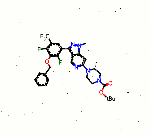 C[C@@H]1CN(C(=O)OC(C)(C)C)CCN1c1cc2c(cn1)c(-c1cc(C(F)(F)F)c(F)c(OCc3ccccc3)c1F)nn2C